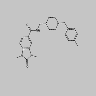 Cc1ccc(CN2CCC(CNC(=O)c3ccc4c(c3)n(C)c(=O)n4C)CC2)cc1